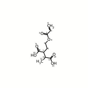 C=CC(=O)OCCC(C(=O)O)C(C)C(=O)O